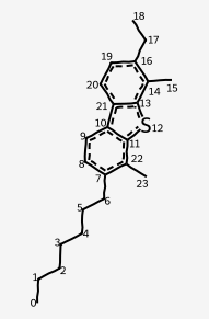 CCCCCCCc1ccc2c(sc3c(C)c(CC)ccc32)c1C